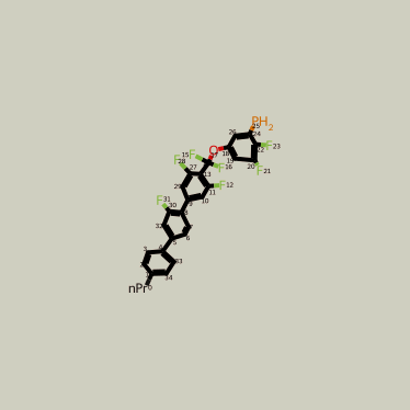 CCCc1ccc(-c2ccc(-c3cc(F)c(C(F)(F)Oc4cc(F)c(F)c(P)c4)c(F)c3)c(F)c2)cc1